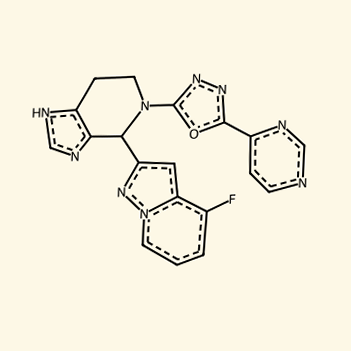 Fc1cccn2nc(C3c4nc[nH]c4CCN3c3nnc(-c4ccncn4)o3)cc12